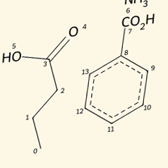 CCCC(=O)O.N.O=C(O)c1ccccc1